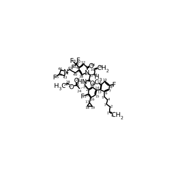 C=CCCCCc1cc(F)cc(C)c1-c1cc(C2CC2)c(F)c([C@H](CC(=O)OCC)NC(=O)[C@H](CC=C)n2cc(CCN3CC(F)C3)c(C(F)(F)F)cc2=O)c1